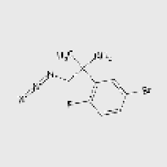 CC(N)(CN=[N+]=[N-])c1cc(Br)ccc1F